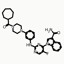 NC(=O)c1cn(-c2nc(Nc3cccc(N4CCN(C(=O)C5CCCCCC5)CC4)c3)ncc2F)c2ccccc12